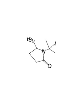 CC(C)(C)C1CCC(=O)N1C(C)(C)I